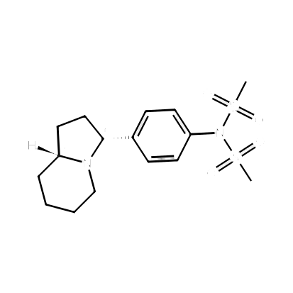 CS(=O)(=O)N(c1ccc([C@H]2CC[C@H]3CCCCN32)cc1)S(C)(=O)=O